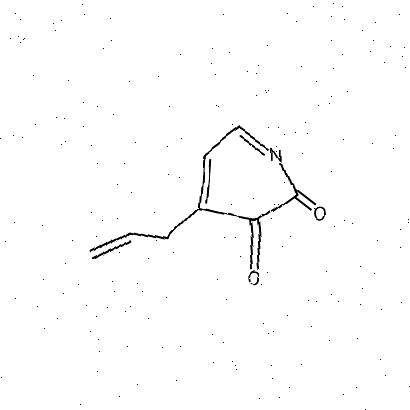 C=CCC1=CC=NC(=O)C1=O